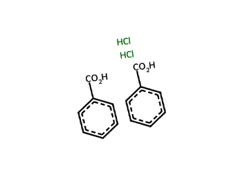 Cl.Cl.O=C(O)c1ccccc1.O=C(O)c1ccccc1